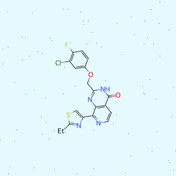 CCc1nc(-c2nccc3c(=O)[nH]c(COc4ccc(F)c(Cl)c4)nc23)cs1